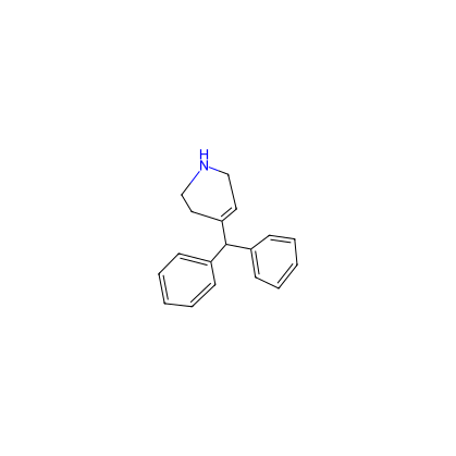 C1=C(C(c2ccccc2)c2ccccc2)CCNC1